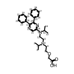 CC(C)N(CCOCC(=O)O)CCN(c1cnc(-c2ccccc2)c(-c2ccccc2)n1)C(C)C